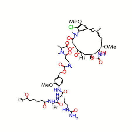 COc1cc(COC(=O)N(C)CCC(=O)N(C)[C@@H](C)C(=O)O[C@H]2CC(=O)N(C)c3cc(cc(OC)c3Cl)C/C(C)=C/C=C/[C@@H](OC)[C@@]3(O)C[C@H](OC(=O)N3)[C@@H](C)[C@@H]3O[C@@]23C)ccc1NC(=O)[C@H](CCCNC(N)=O)NC(=O)[C@@H](NC(=O)CCCCC(=O)C(C)C)C(C)C